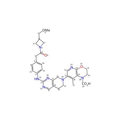 COCC1CN(C(=O)Cc2ccc(Nc3ncc4c(n3)CN(c3cnc5c(c3C)N(C(=O)O)CCO5)CC4)cc2)C1